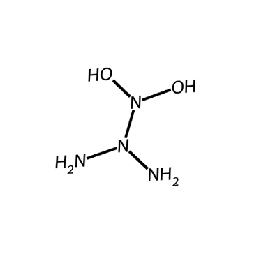 NN(N)N(O)O